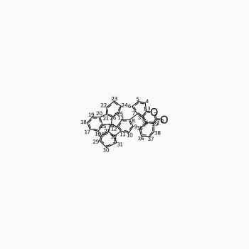 O=c1oc2cccc(-c3ccc4c(c3)C3(c5ccccc5-c5ccccc53)c3ccccc3-4)c2c2ccccc12